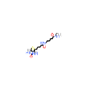 CNC(=O)CCCCCNC(=O)CCCC[C@@H]1SC[C@@H]2NC(=O)N[C@@H]21